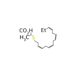 CC/C=C\C/C=C\C/C=C\C/C=C\CCSC(C)C(=O)O